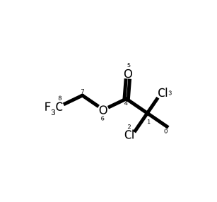 CC(Cl)(Cl)C(=O)OCC(F)(F)F